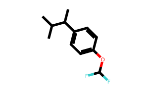 CC(C)C(C)c1ccc(OC(F)F)cc1